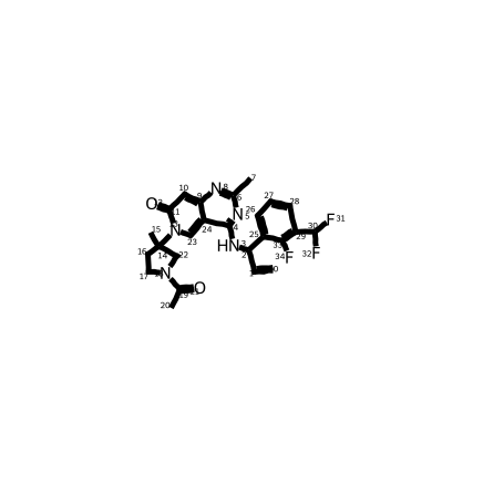 C=CC(Nc1nc(C)nc2cc(=O)n(C3(C)CCN(C(C)=O)C3)cc12)c1cccc(C(F)F)c1F